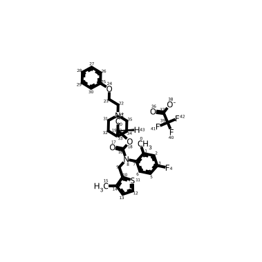 Cc1cc(F)ccc1N(Cc1sccc1C)C(=O)O[C@H]1C[N+]2(CCOc3ccccc3)CCC1CC2.O=C([O-])C(F)(F)F